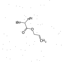 C=CCOC(=O)C(CCC)C(C)CC